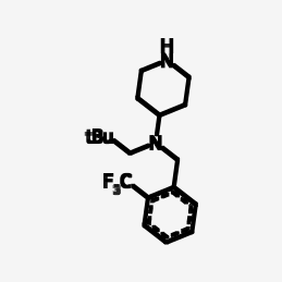 CC(C)(C)CN(Cc1ccccc1C(F)(F)F)C1CCNCC1